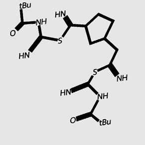 CC(C)(C)C(=O)NC(=N)SC(=N)CC1CCC(C(=N)SC(=N)NC(=O)C(C)(C)C)C1